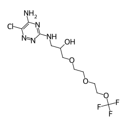 Nc1nc(NCC(O)COCCOCCOC(F)(F)F)nnc1Cl